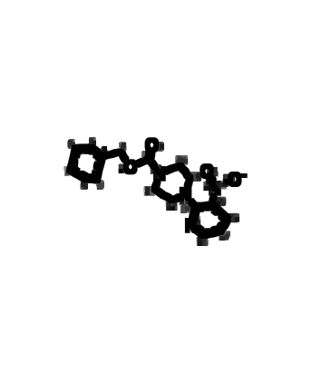 O=C(OCc1ccccc1)N1CCN(c2ncccc2[N+](=O)[O-])CC1